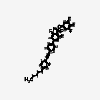 CCCCCc1ccc(C#Cc2ccc(-c3cc(F)c(C(F)(F)Oc4cc(F)c(F)c(F)c4)c(F)c3)cc2)nc1